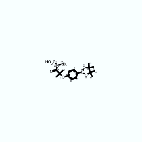 CC(C)(Oc1ccc(B2OC(C)(C)C(C)(C)O2)cc1)C(=O)N(C(=O)O)C(C)(C)C